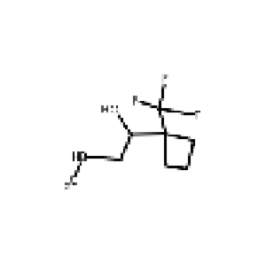 CBCC(O)C1(C(F)(F)F)CCC1